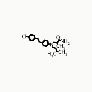 C[C](CN(CCC(C)C)c1ccc(CCc2ccc(Cl)cc2)cc1)C(N)=O